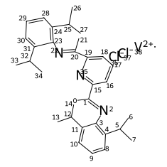 CC(=Nc1c(C(C)C)cccc1C(C)C)c1cccc(C(C)=Nc2c(C(C)C)cccc2C(C)C)n1.[Cl-].[Cl-].[V+2]